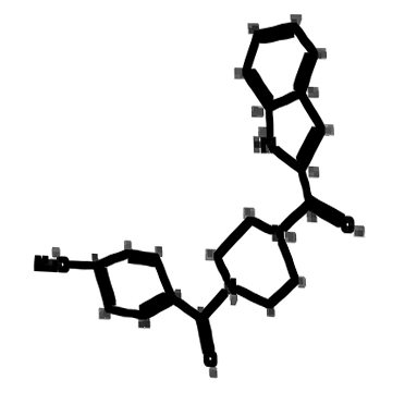 COc1ccc(C(=O)N2CCN(C(=O)c3cc4ccccc4[nH]3)CC2)cc1